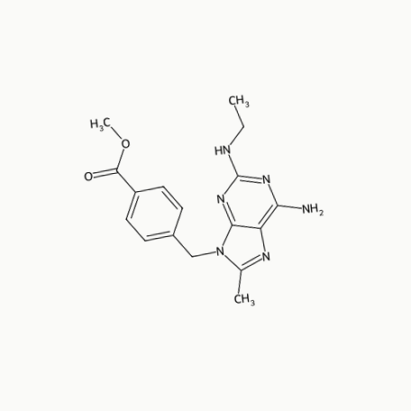 CCNc1nc(N)c2nc(C)n(Cc3ccc(C(=O)OC)cc3)c2n1